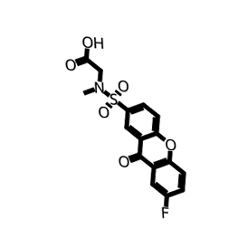 CN(CC(=O)O)S(=O)(=O)c1ccc2oc3ccc(F)cc3c(=O)c2c1